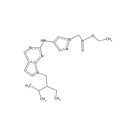 CCOC(=O)Cn1cc(Nc2ncc3ccn(CC(CC)C(C)C)c3n2)cn1